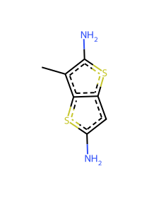 Cc1c(N)sc2cc(N)sc12